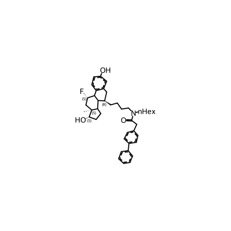 CCCCCCN(CCCC[C@@H]1Cc2cc(O)ccc2C2C1C1CC[C@H](O)[C@@]1(C)C[C@@H]2F)C(=O)Cc1ccc(-c2ccccc2)cc1